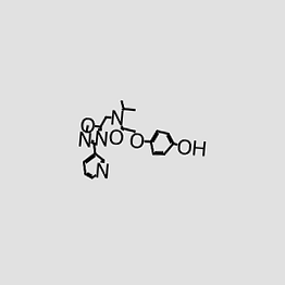 CC(C)N(Cc1nc(-c2cccnc2)no1)C(=O)COc1ccc(O)cc1